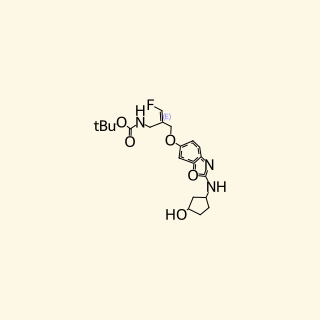 CC(C)(C)OC(=O)NC/C(=C\F)COc1ccc2nc(NC3CCC(O)C3)oc2c1